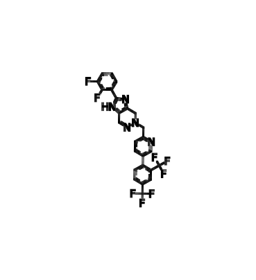 Fc1cccc(-c2nc3c([nH]2)C=NN(Cc2ccc(-c4ccc(C(F)(F)F)cc4C(F)(F)F)cn2)C3)c1F